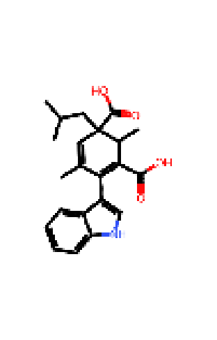 CC1=CC(CC(C)C)(C(=O)O)C(C)C(C(=O)O)=C1c1c[nH]c2ccccc12